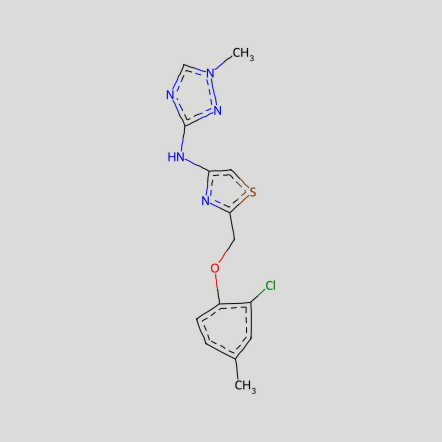 Cc1ccc(OCc2nc(Nc3ncn(C)n3)cs2)c(Cl)c1